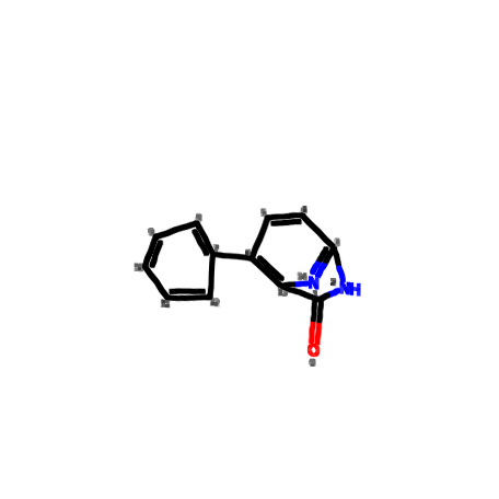 O=C1Nc2ccc(-c3ccccc3)c1n2